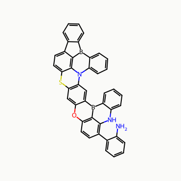 Nc1ccccc1-c1ccc2c3c1Nc1ccccc1B3c1cc3c(cc1O2)Sc1ccc2c4c1N3c1ccccc1B4c1ccccc1-2